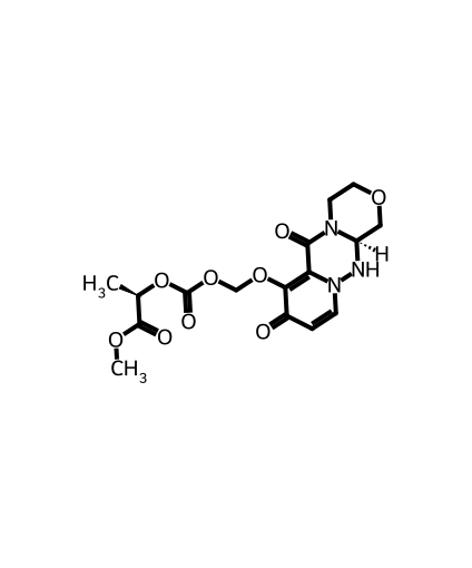 COC(=O)[C@@H](C)OC(=O)OCOc1c2n(ccc1=O)N[C@@H]1COCCN1C2=O